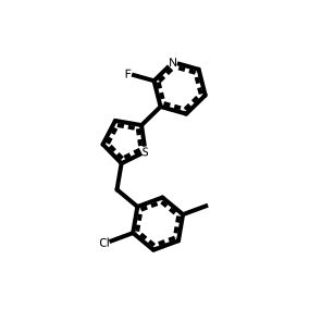 Cc1ccc(Cl)c(Cc2ccc(-c3cccnc3F)s2)c1